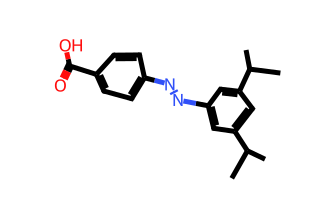 CC(C)c1cc(/N=N/c2ccc(C(=O)O)cc2)cc(C(C)C)c1